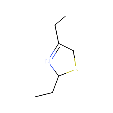 CCC1=NC(CC)SC1